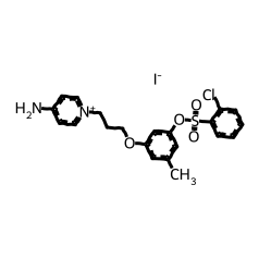 Cc1cc(OCCC[n+]2ccc(N)cc2)cc(OS(=O)(=O)c2ccccc2Cl)c1.[I-]